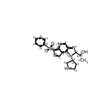 C[C@@H](O)C1N=c2cnc3c(c2N1[C@H]1CCNC1)C=NC=3S(=O)(=O)c1ccccc1